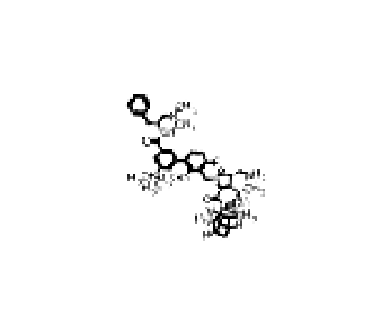 COc1c(-c2cc(C(=O)N[C@@H](Cc3ccccc3)CN(C)C)cc(N(C)C)c2)ccc(F)c1CN1O[C@@H](CN)[C@@H]([C@H](C)O)[C@H]1C(=O)N[C@H]1C[C@H]2C[C@@H]([C@@H]1C)C2(C)C